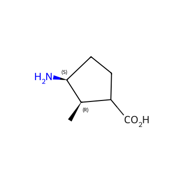 C[C@@H]1C(C(=O)O)CC[C@@H]1N